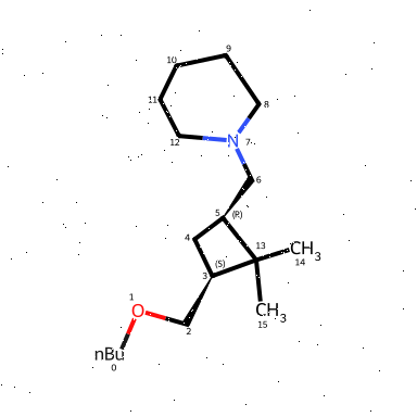 CCCCOC[C@H]1C[C@@H](CN2CCCCC2)C1(C)C